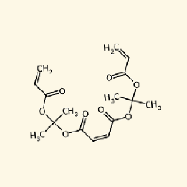 C=CC(=O)OC(C)(C)OC(=O)/C=C\C(=O)OC(C)(C)OC(=O)C=C